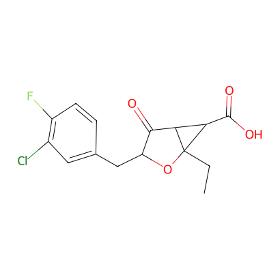 CCC12OC(Cc3ccc(F)c(Cl)c3)C(=O)C1C2C(=O)O